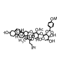 COc1ccc(C(=O)O[C@H]2[C@H](O[C@@H]3[C@@H](OC(C)=O)[C@H](O[C@H]4C[C@H]5[C@@H]6CC=C7C[C@@H](O)CC[C@]7(C)[C@H]6CC[C@]5(C)[C@@]4(O)[C@H](C)C(=O)CCC(C)C)OC[C@@H]3O)OC[C@@H](O)[C@@H]2O)cc1